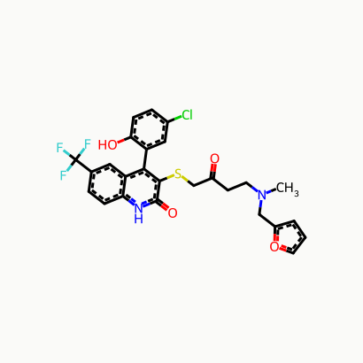 CN(CCC(=O)CSc1c(-c2cc(Cl)ccc2O)c2cc(C(F)(F)F)ccc2[nH]c1=O)Cc1ccco1